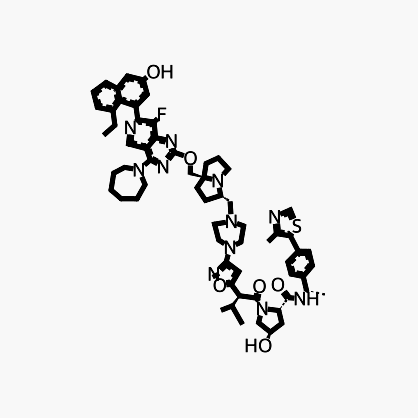 CCc1cccc2cc(O)cc(-c3ncc4c(N5CCCCCC5)nc(OC[C@@]56CCCN5[C@H](CN5CCN(c7cc([C@@H](C(=O)N8C[C@H](O)C[C@H]8C(=O)N[C@@H](C)c8ccc(-c9scnc9C)cc8)C(C)C)on7)CC5)CC6)nc4c3F)c12